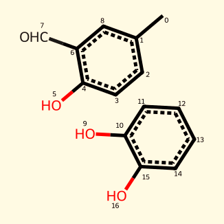 Cc1ccc(O)c(C=O)c1.Oc1ccccc1O